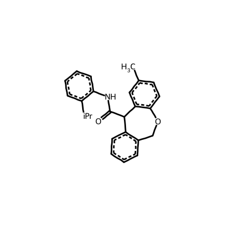 Cc1ccc2c(c1)C(C(=O)Nc1ccccc1C(C)C)c1ccccc1CO2